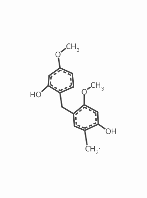 [CH2]c1cc(Cc2ccc(OC)cc2O)c(OC)cc1O